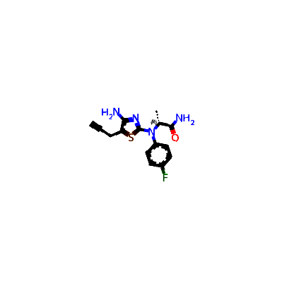 C#CCc1sc(N(c2ccc(F)cc2)[C@H](C)C(N)=O)nc1N